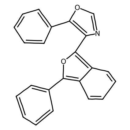 c1ccc(-c2ocnc2-c2oc(-c3ccccc3)c3ccccc23)cc1